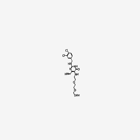 CSCOCCOCCNc1c(C=N)nc(NCc2ccc(Cl)c(Cl)c2)[nH]c1=O